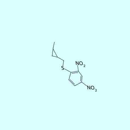 CC1CC1CSc1ccc([N+](=O)[O-])cc1[N+](=O)[O-]